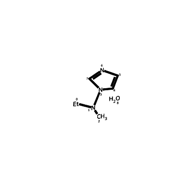 CCN(C)n1ccnc1.O